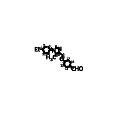 CCc1ccc(-n2cnc(COc3ccc(C=O)cc3)c2C)cc1